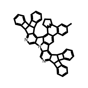 Cc1ccc2c(c1)C13CCCC1(CCC3)c1c-2cc2c3c4c(ncc3n3c5cnc6c(c5c1c23)C1c2ccccc2C12c1ccccc1C62)C1c2ccccc2C12c1ccccc1C42